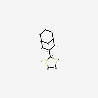 C1CC2CC(C1)CC(C1SCCS1)C2